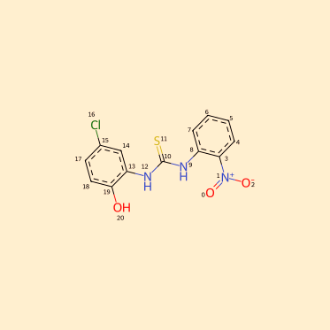 O=[N+]([O-])c1ccccc1NC(=S)Nc1cc(Cl)ccc1O